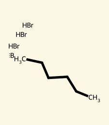 Br.Br.Br.CCCCCC.[B]